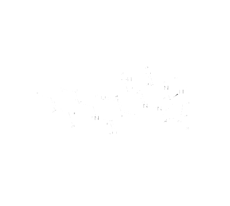 Cc1ccc(CN(C)C(=O)c2cn3c(c(O)c2=O)C(=O)N(C)[C@@H]2C[C@H](C)CN23)c(C)c1